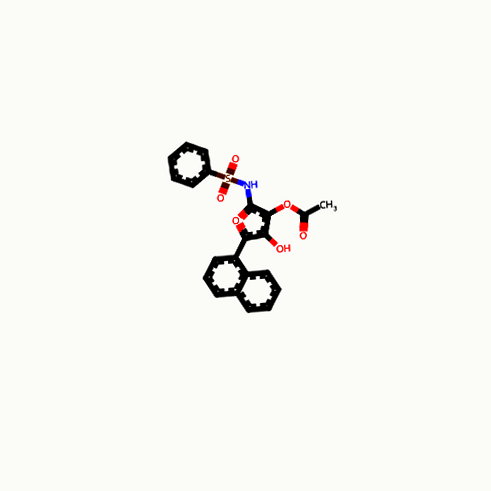 CC(=O)Oc1c(NS(=O)(=O)c2ccccc2)oc(-c2cccc3ccccc23)c1O